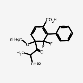 CCCCCCCOC1(C(=O)C(C)CCCCCC)C=CC(C(=O)O)=C(c2ccccc2)C1(F)F